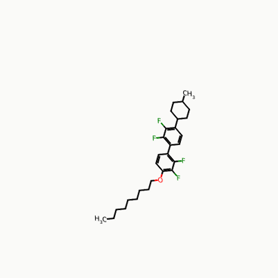 CCCCCCCCCOc1ccc(-c2ccc(C3CCC(C)CC3)c(F)c2F)c(F)c1F